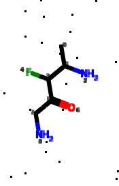 CC(N)C(F)C(=O)CN